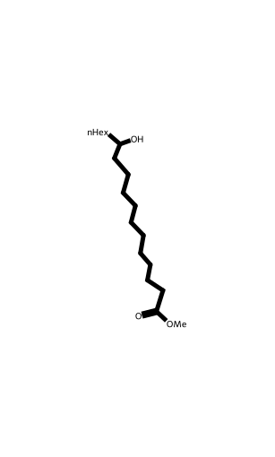 CCCCCCC(O)CCCCCCCCCCC(=O)OC